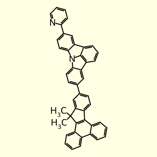 CC1(C)c2cc(-c3ccc4c(c3)c3cccc5c6cc(-c7ccccn7)ccc6n4c35)ccc2-c2c1c1ccccc1c1ccccc21